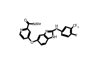 CNC(=O)c1cc(Oc2ccc3[nH]c(Nc4ccc(F)c(C(F)(F)F)c4)nc3c2)ccn1